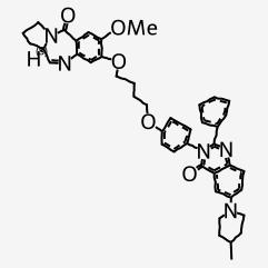 COc1cc2c(cc1OCCCCOc1ccc(-n3c(-c4ccccc4)nc4ccc(N5CCC(C)CC5)cc4c3=O)cc1)N=C[C@@H]1CCCN1C2=O